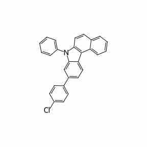 Clc1ccc(-c2ccc3c4c5ccccc5ccc4n(-c4ccccc4)c3c2)cc1